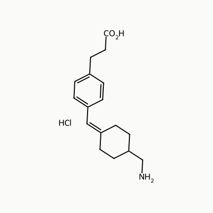 Cl.NCC1CCC(=Cc2ccc(CCC(=O)O)cc2)CC1